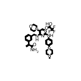 C=C(C(N)=O)c1cccc(CNc2nc(Nc3ccc(N4CCN(C)CC4)cc3)ncc2N2CCOCC2)c1.O=C(O)C(F)(F)F